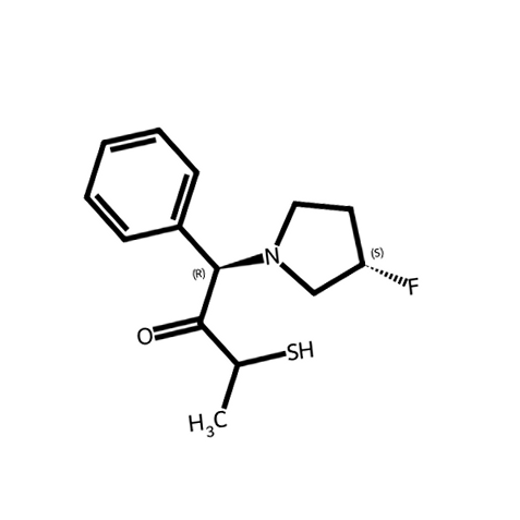 CC(S)C(=O)[C@@H](c1ccccc1)N1CC[C@H](F)C1